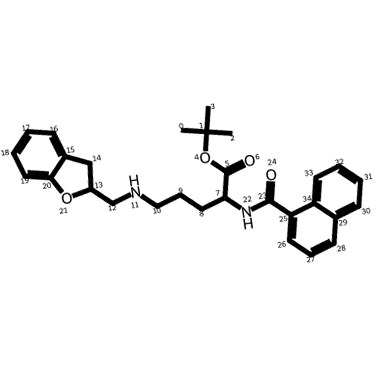 CC(C)(C)OC(=O)C(CCCNCC1Cc2ccccc2O1)NC(=O)c1cccc2ccccc12